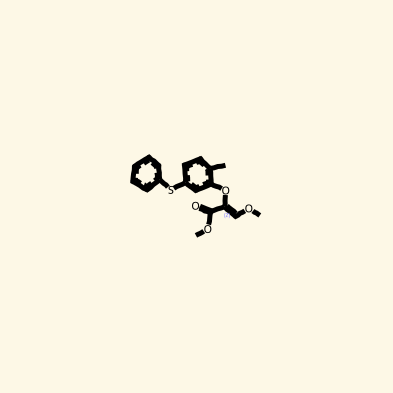 CO/C=C(\Oc1cc(Sc2ccccc2)ccc1C)C(=O)OC